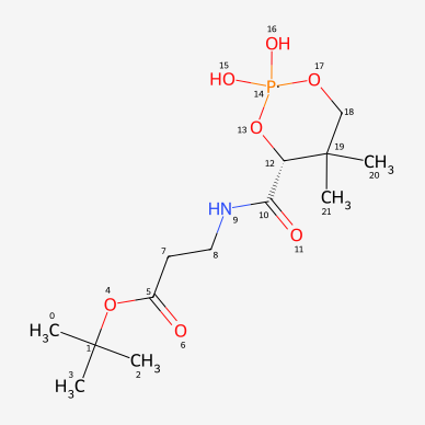 CC(C)(C)OC(=O)CCNC(=O)[C@@H]1O[P](O)(O)OCC1(C)C